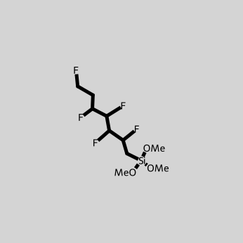 CO[Si](CC(F)C(F)C(F)C(F)CCF)(OC)OC